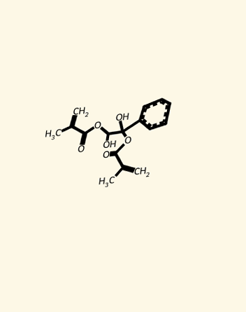 C=C(C)C(=O)OC(O)C(O)(OC(=O)C(=C)C)c1ccccc1